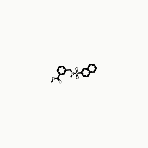 COC(=O)c1cccc(CN(C)S(=O)(=O)c2ccc3ccccc3c2)c1